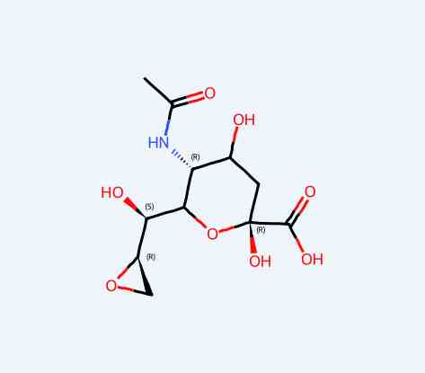 CC(=O)N[C@@H]1C(O)C[C@](O)(C(=O)O)OC1[C@H](O)[C@H]1CO1